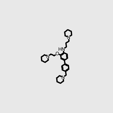 c1cc(-c2ccc(NCCCN3CCCCC3)c(OCCN3CCCCC3)c2)ccc1CN1CCCCC1